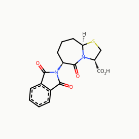 O=C(O)[C@@H]1CS[C@@H]2CCC[C@H](N3C(=O)c4ccccc4C3=O)C(=O)N21